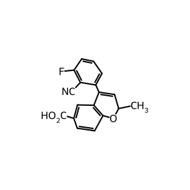 CC1C=C(c2cccc(F)c2C#N)c2cc(C(=O)O)ccc2O1